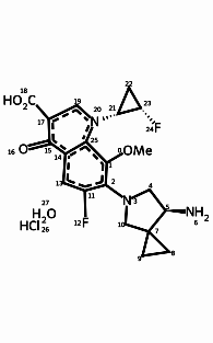 COc1c(N2C[C@@H](N)C3(CC3)C2)c(F)cc2c(=O)c(C(=O)O)cn([C@@H]3C[C@@H]3F)c12.Cl.O